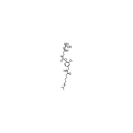 COc1cc(CNC(=O)CCCC/C=C/C(C)C)ccc1OC(=O)N(C)CCNOP(O)O